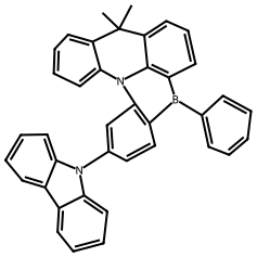 CC1(C)c2ccccc2N2c3cc(-n4c5ccccc5c5ccccc54)ccc3B(c3ccccc3)c3cccc1c32